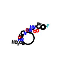 CC(C)[C@H](NC(=O)N[C@H]1CCCCCCCC2C[C@@]2(C(=O)O)NC(=O)[C@@H]2CCCN2C1=O)C(=O)c1ccc(F)cc1